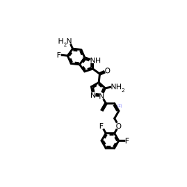 C=C(/C=C\COc1c(F)cccc1F)n1ncc(C(=O)c2cc3cc(F)c(N)cc3[nH]2)c1N